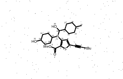 COC(=O)c1sc(C#CC(C)(C)C)cc1N(C1CCC(O)CC1)C(O)C1CCC(C)CC1